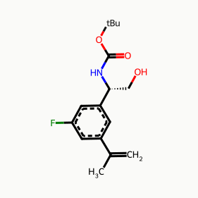 C=C(C)c1cc(F)cc([C@@H](CO)NC(=O)OC(C)(C)C)c1